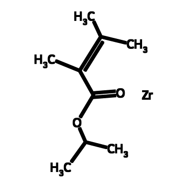 CC(C)=C(C)C(=O)OC(C)C.[Zr]